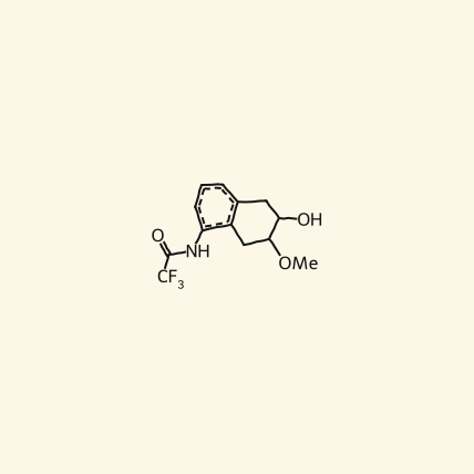 COC1Cc2c(cccc2NC(=O)C(F)(F)F)CC1O